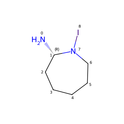 N[C@H]1CCCCCN1I